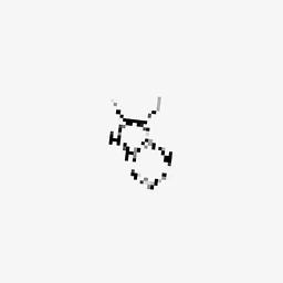 Cc1nn2ccccc2c1I